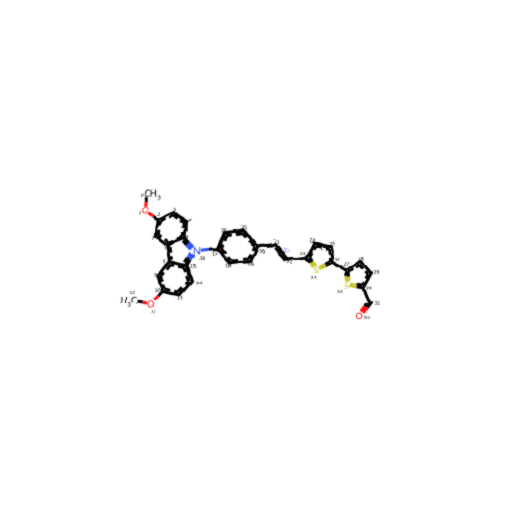 COc1ccc2c(c1)c1cc(OC)ccc1n2-c1ccc(/C=C/c2ccc(-c3ccc(C=O)s3)s2)cc1